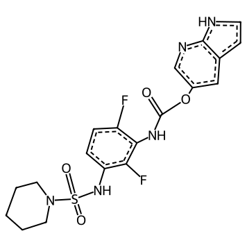 O=C(Nc1c(F)ccc(NS(=O)(=O)N2CCCCC2)c1F)Oc1cnc2[nH]ccc2c1